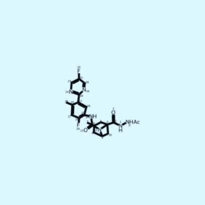 CC(=O)NNC(=O)C12CC(C)CC(C1)N2C(=O)Nc1cc(-c2ncc(F)cn2)c(C)cc1F